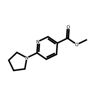 COC(=O)c1ccc(N2CCCC2)nc1